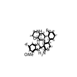 COc1cc(F)cc2[nH]c(-c3c(N)ncc(-c4cccc(F)c4)c3N3CCC4NCCOC4C3)nc12